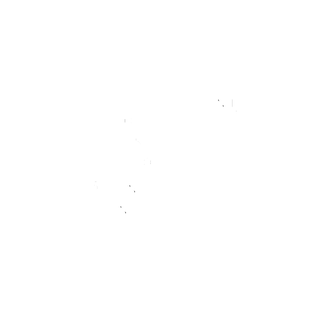 Cc1nnc(CS(=O)(=O)c2ccc(N)cc2)s1